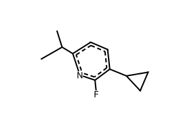 CC(C)c1ccc(C2CC2)c(F)n1